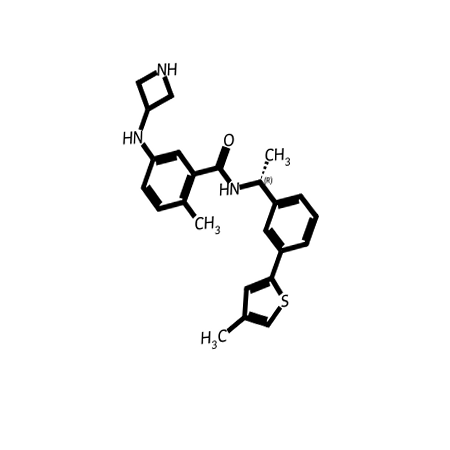 Cc1csc(-c2cccc([C@@H](C)NC(=O)c3cc(NC4CNC4)ccc3C)c2)c1